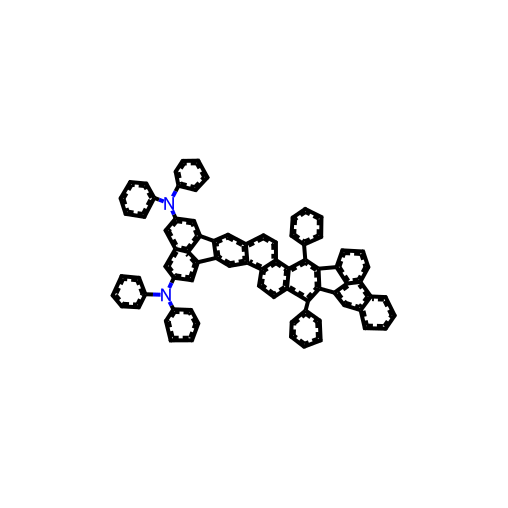 c1ccc(-c2c3c(c(-c4ccccc4)c4c2ccc2c5cc6c(cc5ccc24)-c2cc(N(c4ccccc4)c4ccccc4)cc4cc(N(c5ccccc5)c5ccccc5)cc-6c24)-c2cccc4c2c-3cc2ccccc24)cc1